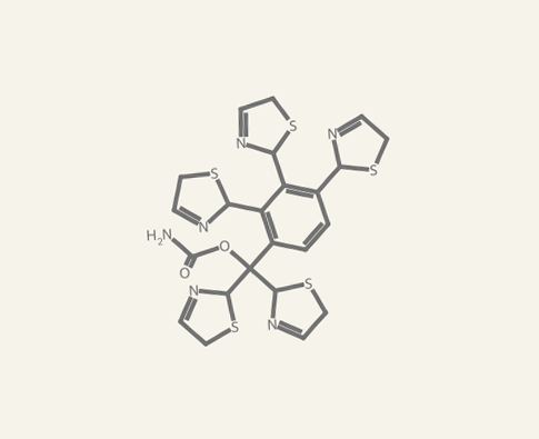 NC(=O)OC(c1ccc(C2N=CCS2)c(C2N=CCS2)c1C1N=CCS1)(C1N=CCS1)C1N=CCS1